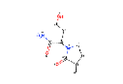 CC1CCN(C(CCO)C(N)=O)C1=O